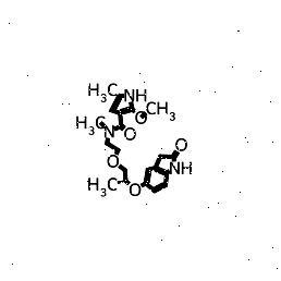 COc1[nH]c(C)cc1C(=O)N(C)CCOC[C@H](C)Oc1ccc2c(c1)CC(=O)N2